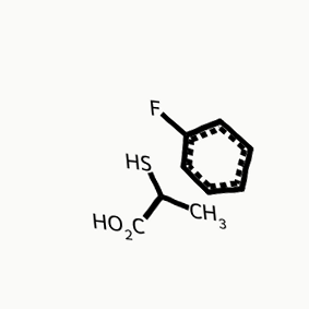 CC(S)C(=O)O.Fc1ccccc1